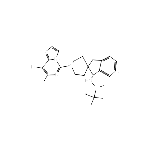 Cc1nc(N2CCC3(CC2)Cc2ccccc2[C@H]3N[S+]([O-])C(C)(C)C)n2ccnc2c1Br